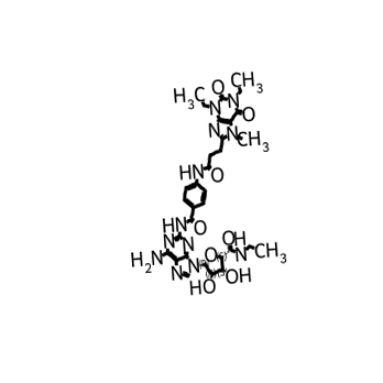 CCNC(=O)[C@H]1O[C@@H](n2cnc3c(N)nc(NC(=O)c4ccc(NC(=O)CCc5nc6c(c(=O)n(CC)c(=O)n6CC)n5C)cc4)nc32)[C@H](O)[C@@H]1O